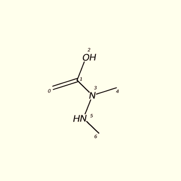 C=C(O)N(C)NC